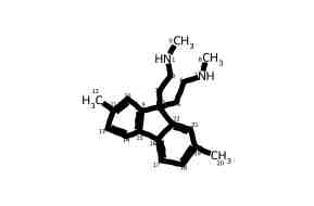 CNCCC1(CCNC)c2cc(C)ccc2-c2ccc(C)cc21